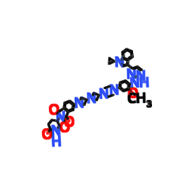 COc1cc(N2CCN(C3CN(C4CN(c5ccc6c(c5)C(=O)N(C5CCC(=O)NC5=O)C6=O)C4)C3)CC2)ccc1Nc1nccc(-c2cn(C3CC3)c3ccccc23)n1